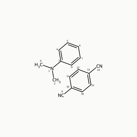 CN(C)c1ccccc1.N#Cc1ccc(C#N)cc1